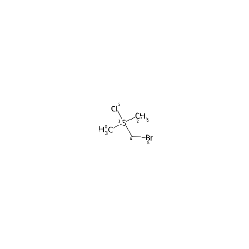 CS(C)(Cl)CBr